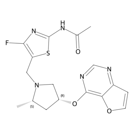 CC(=O)Nc1nc(F)c(CN2C[C@H](Oc3ncnc4ccoc34)C[C@@H]2C)s1